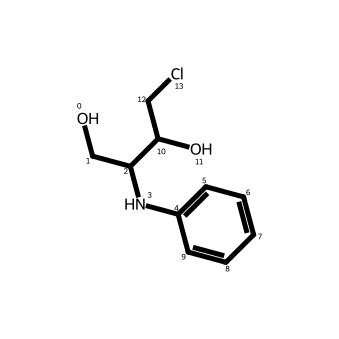 OCC(Nc1ccccc1)C(O)CCl